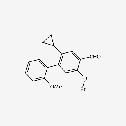 CCOc1cc(-c2ccccc2OC)c(C2CC2)cc1C=O